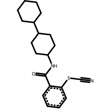 N#CSc1ccccc1C(=O)NC1CCC(C2CCCCC2)CC1